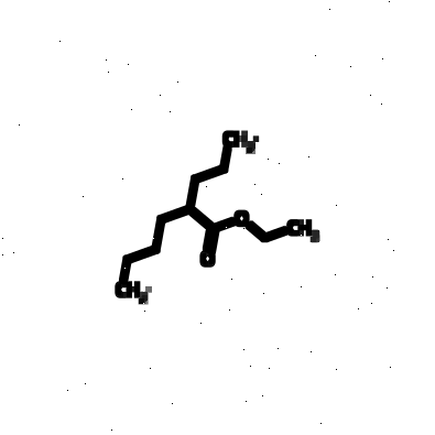 [CH2]CCCC(CC[CH2])C(=O)OCC